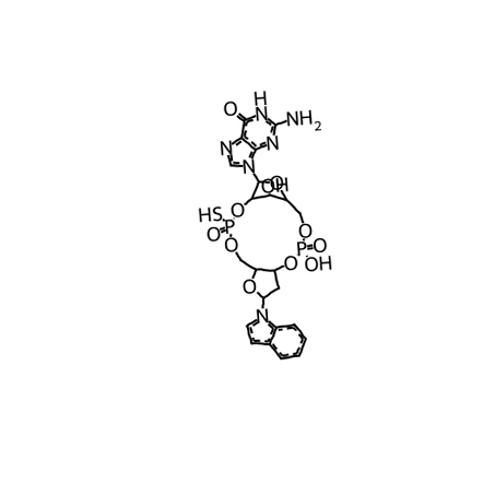 Nc1nc2c(ncn2C2OC3COP(=O)(O)OC4CC(n5ccc6ccccc65)OC4COP(=O)(S)OC2C3O)c(=O)[nH]1